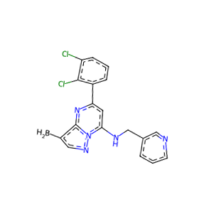 Bc1cnn2c(NCc3cccnc3)cc(-c3cccc(Cl)c3Cl)nc12